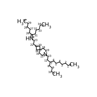 CCCCCCCC(CCCC)CCN1CCC2(CC1)CC(CCNC(CCCCC)CCCCC)C2